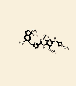 COc1nc(NC2CN(C)C2)nc(OC)c1NC(=O)c1coc(Oc2cc3c(cc2C)CCC3(C)C)n1